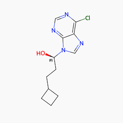 O[C@H](CCC1CCC1)n1cnc2c(Cl)ncnc21